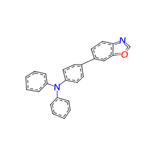 c1ccc(N(c2ccccc2)c2ccc(-c3ccc4ncoc4c3)cc2)cc1